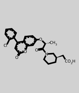 C[C@@H](Oc1ccc2c(-c3ccccc3Cl)cc(=O)oc2c1)C(=O)N1CCC[C@H](CC(=O)O)C1